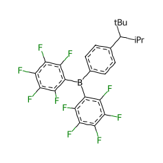 CC(C)C(c1ccc(B(c2c(F)c(F)c(F)c(F)c2F)c2c(F)c(F)c(F)c(F)c2F)cc1)C(C)(C)C